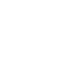 Fc1cc(OC(F)(F)C2=CCC(C3OCCCO3)CC2)cc(F)c1F